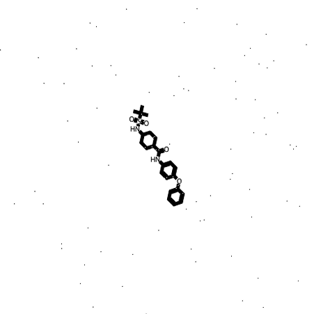 CC(C)(C)S(=O)(=O)NC1CCC(C(=O)Nc2ccc(Oc3ccccc3)cc2)CC1